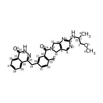 COC[C@H](C)Nc1ncc2c(n1)CN(C(=O)c1cc(Cc3n[nH]c(=O)c4ccccc34)ccc1F)C2